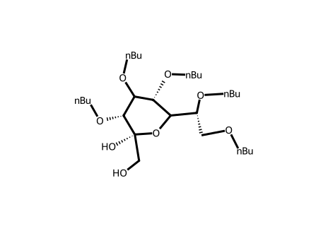 CCCCOC[C@@H](OCCCC)C1O[C@@](O)(CO)[C@H](OCCCC)C(OCCCC)[C@@H]1OCCCC